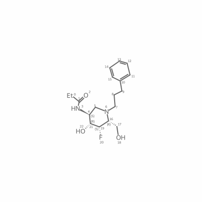 CCC(=O)N[C@H]1CN(CCCc2ccccc2)[C@H](CO)[C@H](F)[C@@H]1O